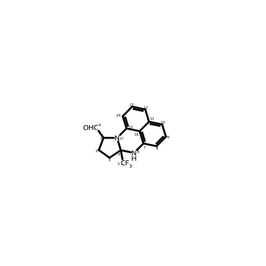 O=CC1CCC2(C(F)(F)F)Nc3cccc4cccc(c34)N12